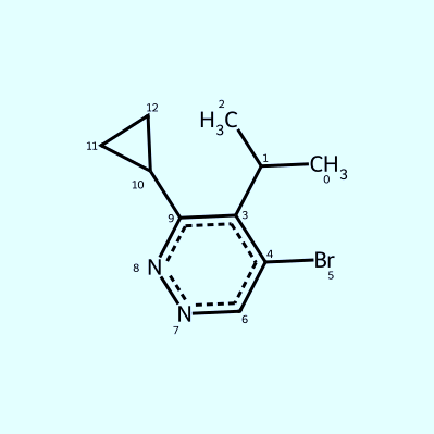 CC(C)c1c(Br)cnnc1C1CC1